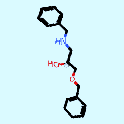 O[C@@H](CNCc1ccccc1)COCC1=CCCC=C1